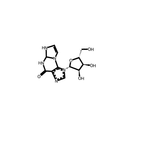 O=C1NC2NC=CN2c2c1ncn2[C@@H]1O[C@H](CO)[C@@H](O)[C@H]1O